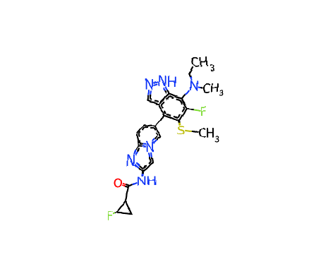 CCN(C)c1c(F)c(SC)c(-c2ccc3nc(NC(=O)C4CC4F)cn3c2)c2cn[nH]c12